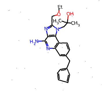 CCOCc1nc2c(N)nc3cc(Cc4ccccc4)ccc3c2n1CC(C)(C)O